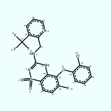 O=S1(=O)N=C(NCc2ncccc2C(F)(F)F)Nc2c1ccc(F)c2Oc1ccccc1Cl